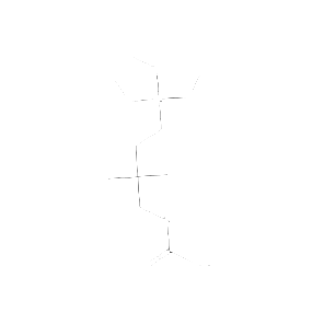 CCCC[CH]CCCC(=O)NCC(C)(C)CC[Si](OCC)(OCC)OCC